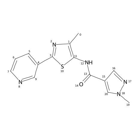 Cc1nc(-c2cccnc2)sc1NC(=O)c1cnn(C)c1